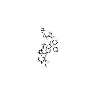 CC(C)N(C(C)C)P(OCCC#N)OC[C@H]1O[C@@H](n2cnc3c(/N=C\N(C)C)ncnc32)CC1NC(c1ccccc1)(c1ccccc1)c1ccccc1